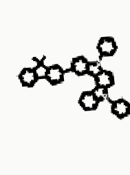 CC1(C)c2ccccc2-c2ccc(-c3ccc4c(c3)c3c5c6ccccc6n(-c6ccccc6)c5ccc3n4-c3ccccc3)cc21